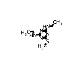 CCNc1nc(NCC)nc(SC)n1